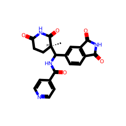 C[C@]1(C(NC(=O)c2ccncc2)c2ccc3c(c2)C(=O)NC3=O)CCC(=O)NC1=O